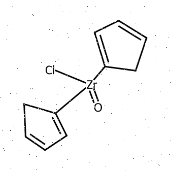 [O]=[Zr]([Cl])([C]1=CC=CC1)[C]1=CC=CC1